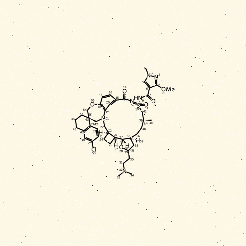 COc1nn(C)cc1C(=O)N[S@@]1(=O)=NC(=O)c2ccc3c(c2)N(C[C@@H]2CC[C@H]2[C@H]2O[C@H](CCN(C)C)C[C@@H]2CC[C@H](C)C1)C[C@@]1(CCCc2cc(Cl)ccc21)CO3